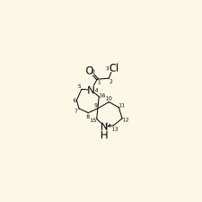 O=C(CCl)N1CCCCC2(CCCCNC2)C1